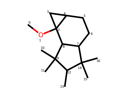 COC12CC1CCC1C2C(C)(C)C(C)C1(C)C